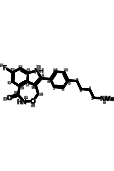 CNCCCCc1ccc(-c2[nH]c3cc(F)cc4c3c2CONC4=O)cc1